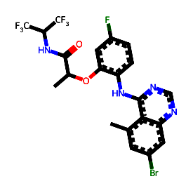 Cc1cc(Br)cc2ncnc(Nc3ccc(F)cc3OC(C)C(=O)NC(C(F)(F)F)C(F)(F)F)c12